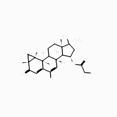 CC(=O)O[C@]1(C(C)=O)C[C@@H](OC(=O)CCl)[C@H]2[C@@H]3C=C(Cl)C4=CC(=O)[C@@H]5C[C@@H]5[C@]4(C)[C@H]3CC[C@@]21C